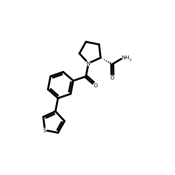 NC(=O)[C@H]1CCCN1C(=O)c1cccc(-c2ccsc2)c1